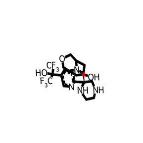 OC1CC2COCC(C1)N2C[C@@]1(c2ncc(C(O)(C(F)(F)F)C(F)(F)F)cn2)CNCCN1